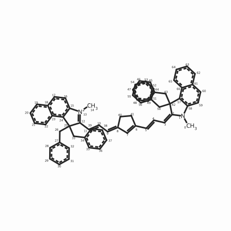 CN1/C(=C/C=C/C2=CC(=C/C=C/C3=[N+](C)c4ccc5ccccc5c4C3(Cc3ccccc3)Cc3ccccc3)/CC2)C(Cc2ccccc2)(Cc2ccccc2)c2c1ccc1ccccc21